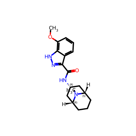 COc1cccc2c(C(=O)N[C@H]3C[C@H]4CCC[C@@H](C3)N4C)n[nH]c12